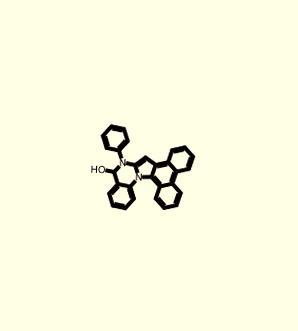 OC1c2ccccc2-n2c(cc3c4ccccc4c4ccccc4c32)N1c1ccccc1